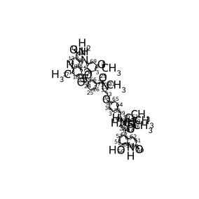 COc1cccc(Nc2c(C(N)=O)cnc3c(C)cc(S(=O)(=O)c4cccc(C(=O)N(C)CCOc5ccc(CCNC[C@H](O[Si](C)(C)C(C)(C)C)c6ccc(O)c7[nH]c(=O)ccc67)cc5)c4)cc23)c1